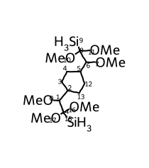 COC(C1CCC(C(OC)C([SiH3])(OC)OC)CC1)C([SiH3])(OC)OC